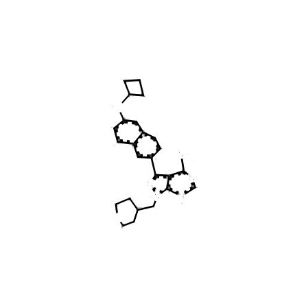 Nc1ncnc2c1c(-c1ccc3cc(OC4CCC4)ccc3c1)nn2CC1CCOCC1